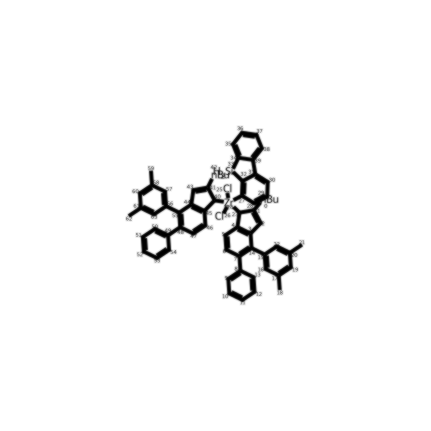 CCCCC1=Cc2c(ccc(-c3ccccc3)c2-c2cc(C)cc(C)c2)[CH]1[Zr]([Cl])([Cl])([c]1cccc2c1[SiH2]c1ccccc1-2)[CH]1C(CCCC)=Cc2c1ccc(-c1ccccc1)c2-c1cc(C)cc(C)c1